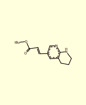 CC(C)(C)OC(=O)/C=C/c1cnc2c(c1)CCCN2